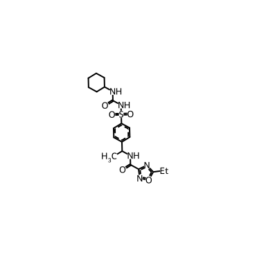 CCc1nc(C(=O)NC(C)c2ccc(S(=O)(=O)NC(=O)NC3CCCCC3)cc2)no1